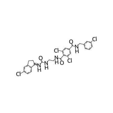 O=C(NCCNC(=O)c1c(Cl)cc(C(=O)NCc2cccc(Cl)c2)cc1Cl)N[C@@H]1CCc2cc(Cl)ccc21